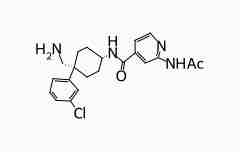 CC(=O)Nc1cc(C(=O)N[C@H]2CC[C@](CN)(c3cccc(Cl)c3)CC2)ccn1